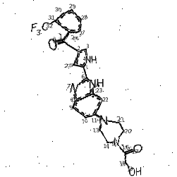 O=C(c1c[nH]c(-c2nc3ccc(N4CCN(C(=O)CO)CC4)cc3[nH]2)c1)c1ccccc1C(F)(F)F